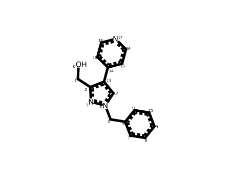 OCc1nn(Cc2ccccc2)cc1-c1ccncc1